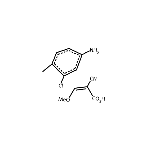 COC=C(C#N)C(=O)O.Cc1ccc(N)cc1Cl